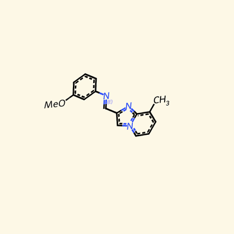 COc1cccc(/N=C/c2cn3cccc(C)c3n2)c1